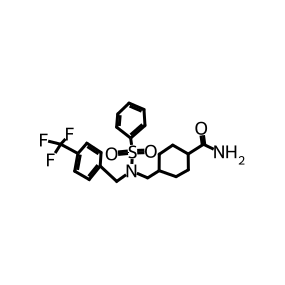 NC(=O)C1CCC(CN(Cc2ccc(C(F)(F)F)cc2)S(=O)(=O)c2ccccc2)CC1